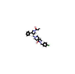 CCC(=O)N1CC(c2ccccc2)[C@@H](CN2CCC3(CC2)CCN(Cc2ccc(F)cc2)C3=O)C1